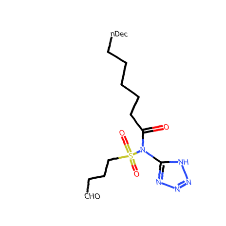 CCCCCCCCCCCCCCCC(=O)N(c1nnn[nH]1)S(=O)(=O)CCCC=O